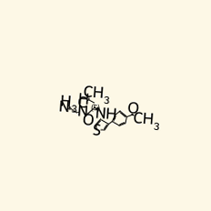 CC(=O)c1ccc(-c2cscc2N[C@@H](CC(C)C)C(=O)NCC#N)cc1